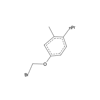 CCCc1ccc(OCBr)cc1C